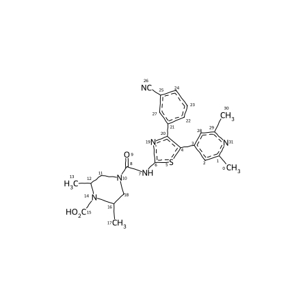 Cc1cc(-c2sc(NC(=O)N3CC(C)N(C(=O)O)C(C)C3)nc2-c2cccc(C#N)c2)cc(C)n1